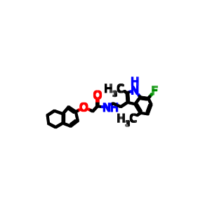 Cc1[nH]c2c(F)ccc(C)c2c1CCNC(=O)COc1ccc2c(c1)CCCC2